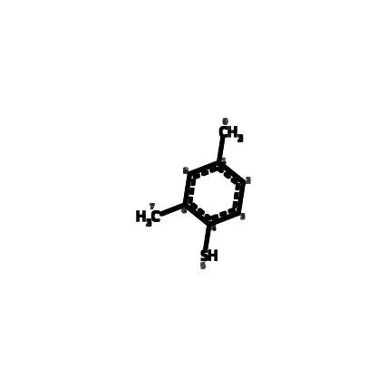 Cc1ccc(S)c(C)c1